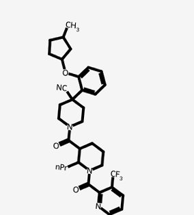 CCCC1C(C(=O)N2CCC(C#N)(c3ccccc3OC3CCC(C)C3)CC2)CCCN1C(=O)c1ncccc1C(F)(F)F